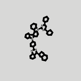 c1ccc(-c2cc(-c3ccccc3)nc(-n3c4ccccc4c4c5c6ccccc6n(-c6ccc(-c7nc(-c8ccc9ccccc9c8)c8ccccc8n7)cc6)c5ccc43)n2)cc1